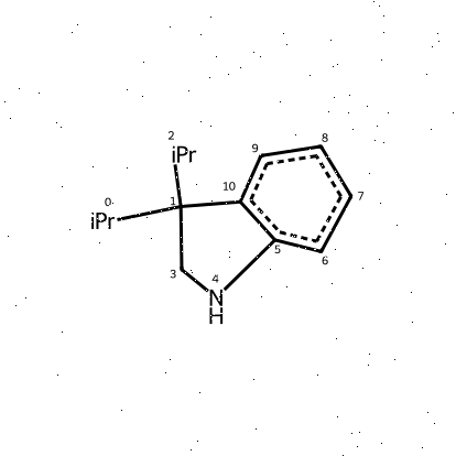 CC(C)C1(C(C)C)CNc2ccccc21